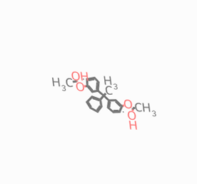 CC(O)Oc1[c]ccc(C(C)(c2ccccc2)c2cc[c]c(OC(C)O)c2)c1